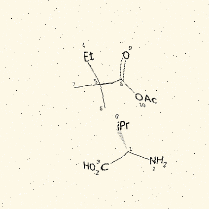 CC(C)[C@H](N)C(=O)O.CCC(C)(C)C(=O)OC(C)=O